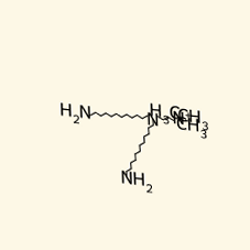 C[N+](C)(C)CCCCN(CCCCCCCCCCCCN)CCCCCCCCCCCCN